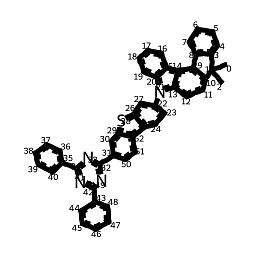 CC1(C)c2ccccc2-c2c1ccc1c2c2ccccc2n1-c1ccc2c(c1)sc1cc(-c3nc(-c4ccccc4)nc(-c4ccccc4)n3)ccc12